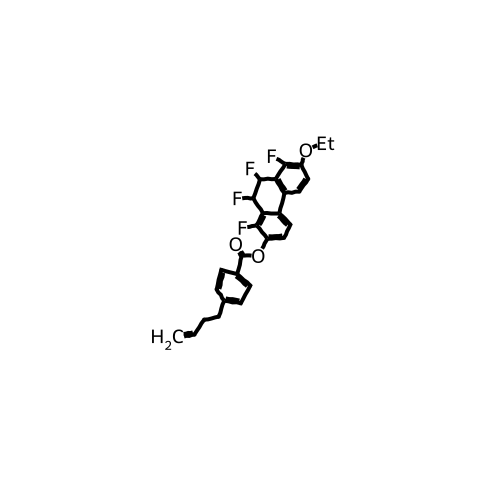 C=CCCc1ccc(C(=O)Oc2ccc3c(c2F)C(F)C(F)c2c-3ccc(OCC)c2F)cc1